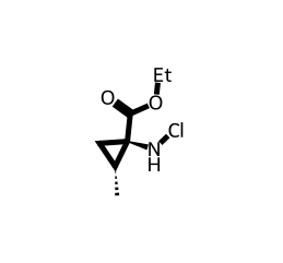 CCOC(=O)[C@@]1(NCl)C[C@H]1C